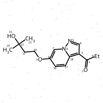 CCC(=O)c1cnn2cc(OCCC(C)(C)O)ccc12